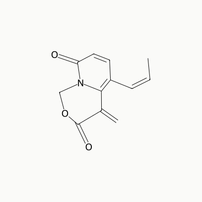 C=C1C(=O)OCn2c1c(/C=C\C)ccc2=O